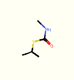 CNC(=O)SC(C)C